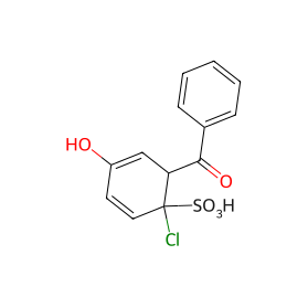 O=C(c1ccccc1)C1C=C(O)C=CC1(Cl)S(=O)(=O)O